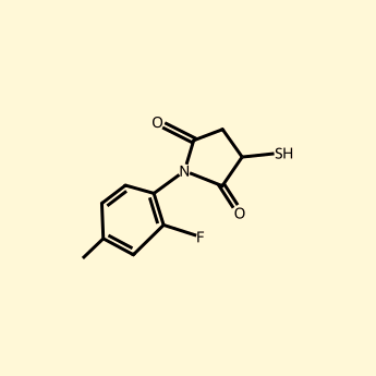 Cc1ccc(N2C(=O)CC(S)C2=O)c(F)c1